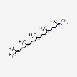 C/N=C(\C)CC/C=C(\C)CC/C=C(\C)CC/C=C(\C)CCC=C(C)C